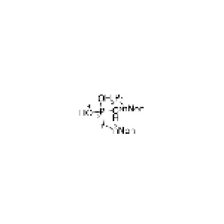 CCCCCCCCCCP(=O)(O)O.CCCCCCCCCP